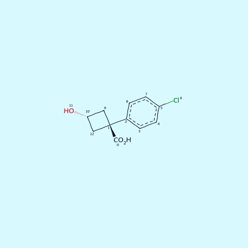 O=C(O)[C@]1(c2ccc(Cl)cc2)C[C@@H](O)C1